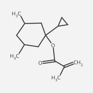 C=C(C)C(=O)OC1(C2CC2)CC(C)CC(C)C1